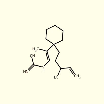 C=CC(CC)CCC1(/C(C)=C/NC(=N)C#N)CCCCC1